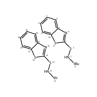 CC(C)(C)NSc1nc2ccccc2s1.CC(C)NSc1nc2ccccc2s1